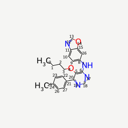 CCCCOc1c(Nc2ccc3ncoc3c2)ncnc1-c1ccc(C)cc1